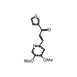 COc1cnc(/C=C/C(=O)c2ccsc2)cc1OC